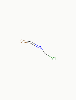 S=C=NCCl